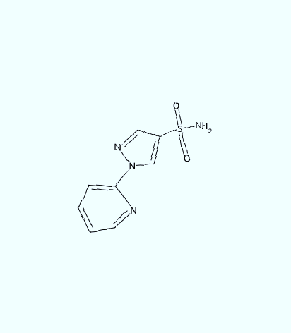 NS(=O)(=O)c1cnn(-c2ccccn2)c1